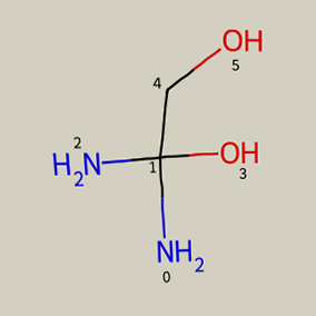 NC(N)(O)CO